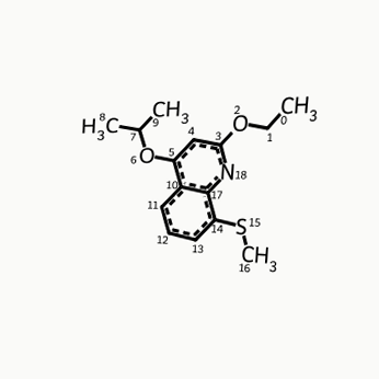 CCOc1cc(OC(C)C)c2cccc(SC)c2n1